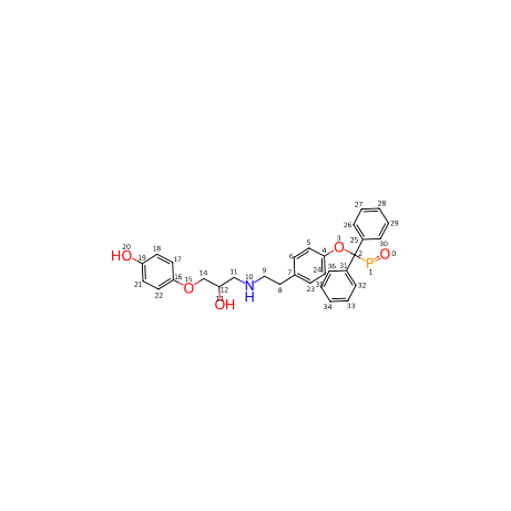 O=PC(Oc1ccc(CCNCC(O)COc2ccc(O)cc2)cc1)(c1ccccc1)c1ccccc1